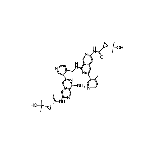 Cc1ccncc1-c1cc2cc(NC(=O)[C@H]3C[C@@H]3C(C)(C)O)ncc2c(NCc2ccncc2-c2cc3cc(NC(=O)[C@@H]4C[C@H]4C(C)(C)O)ncc3c(N)n2)n1